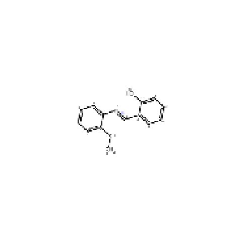 CSc1ccccc1/N=C/c1ccccc1O